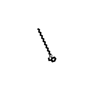 CCCCCCCCCCCCCCCCCCN1CCc2ccccc21